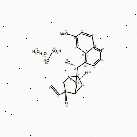 C=C[C@@H]1CN2CCC1C[C@@H]2[C@H](O)c1ccnc2ccc(OC)cc12.O.O.O=S(=O)(O)O